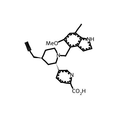 C#CC[C@H]1CCN(Cc2c(OC)cc(C)c3[nH]ccc23)[C@H](c2ccc(C(=O)O)nc2)C1